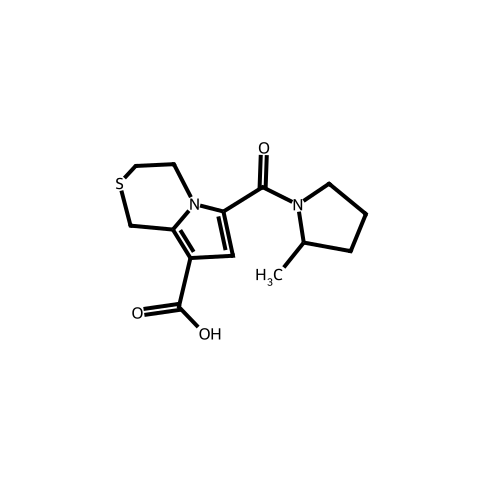 CC1CCCN1C(=O)c1cc(C(=O)O)c2n1CCSC2